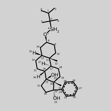 CC(C)C(C)(C)[SiH2]O[C@H]1CC[C@@]2(C)[C@H](CC[C@@H]3[C@@H]2CC[C@]2(C)[C@@](O)(c4ccccc4)CC[C@]32O)C1